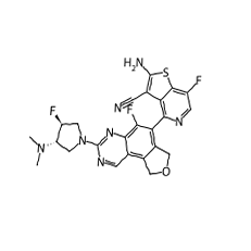 CN(C)[C@H]1CN(c2ncc3c4c(c(-c5ncc(F)c6sc(N)c(C#N)c56)c(F)c3n2)COC4)C[C@@H]1F